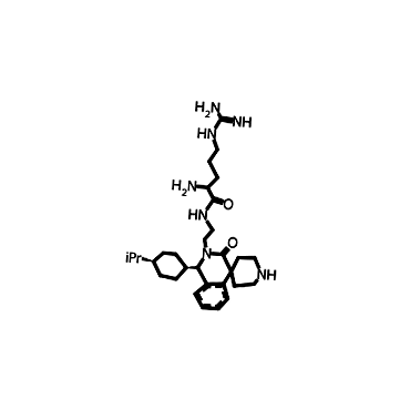 CC(C)[C@H]1CC[C@@H](C2c3ccccc3C3(CCNCC3)C(=O)N2CCNC(=O)C(N)CCCNC(=N)N)CC1